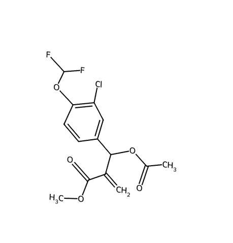 C=C(C(=O)OC)C(OC(C)=O)c1ccc(OC(F)F)c(Cl)c1